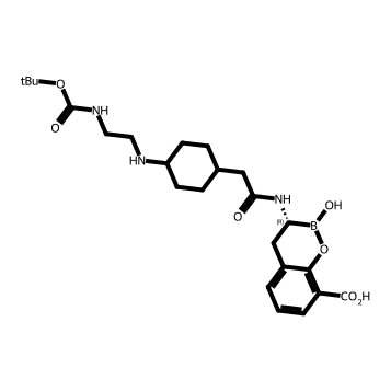 CC(C)(C)OC(=O)NCCNC1CCC(CC(=O)N[C@H]2Cc3cccc(C(=O)O)c3OB2O)CC1